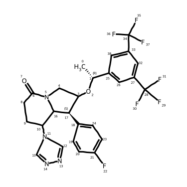 C[C@@H](OC1CN2C(=O)CCC(n3cnnc3)C2[C@@H]1c1ccc(F)cc1)c1cc(C(F)(F)F)cc(C(F)(F)F)c1